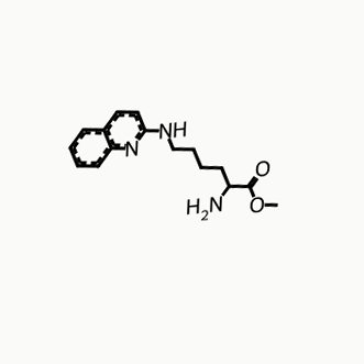 COC(=O)C(N)CCCCNc1ccc2ccccc2n1